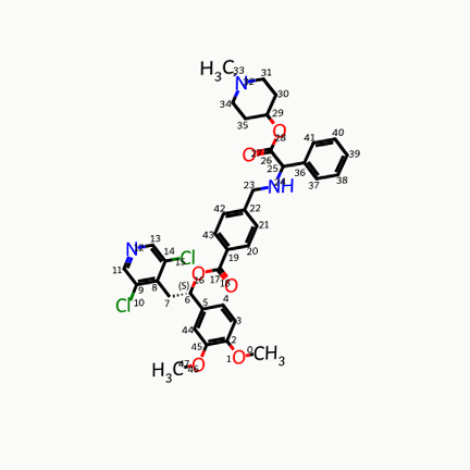 COc1ccc([C@H](Cc2c(Cl)cncc2Cl)OC(=O)c2ccc(CNC(C(=O)OC3CCN(C)CC3)c3ccccc3)cc2)cc1OC